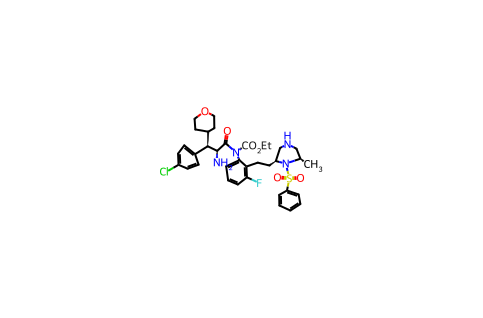 CCOC(=O)N(C(=O)[C@@H](N)[C@@H](c1ccc(Cl)cc1)C1CCOCC1)c1cccc(F)c1CC[C@H]1CNC[C@@H](C)N1S(=O)(=O)c1ccccc1